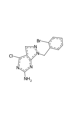 Nc1nc(Cl)c2cnn(Cc3ccccc3Br)c2n1